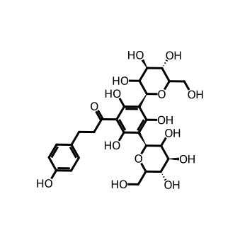 O=C(CCc1ccc(O)cc1)c1c(O)c([C@@H]2OC(CO)[C@@H](O)[C@H](O)C2O)c(O)c([C@@H]2OC(CO)[C@@H](O)[C@H](O)C2O)c1O